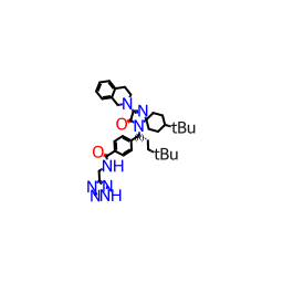 CC(C)(C)CC[C@H](c1ccc(C(=O)NCc2nn[nH]n2)cc1)N1C(=O)C(N2CCc3ccccc3C2)=NC12CCC(C(C)(C)C)CC2